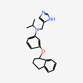 CC(C)N(Cc1cnc[nH]1)c1cccc(OC2CCCc3ccccc32)c1